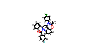 CCC(=O)N(c1ccc(Cl)cc1)[C@H]1C[C@@H](c2ccccc2)N(C(=O)c2ccc(F)cc2)c2ccccc21